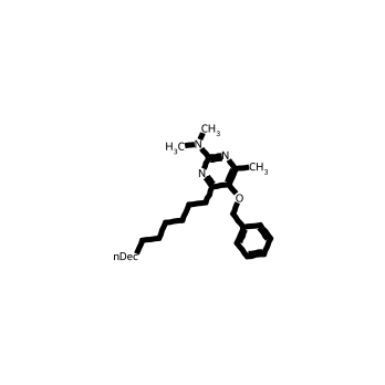 CCCCCCCCCCCCCCCCc1nc(N(C)C)nc(C)c1OCc1ccccc1